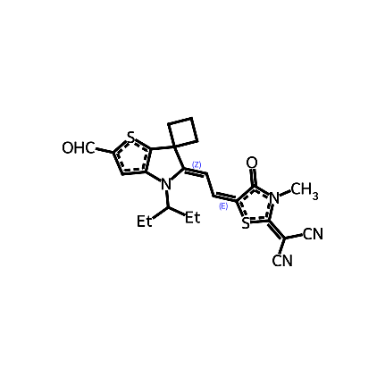 CCC(CC)N1/C(=C\C=c2\sc(=C(C#N)C#N)n(C)c2=O)C2(CCC2)c2sc(C=O)cc21